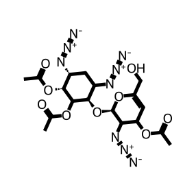 CC(=O)OC1C=C(CO)O[C@H](O[C@@H]2C(N=[N+]=[N-])C[C@@H](N=[N+]=[N-])[C@@H](OC(C)=O)C2OC(C)=O)C1N=[N+]=[N-]